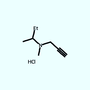 C#CCN(C)C(C)CC.Cl